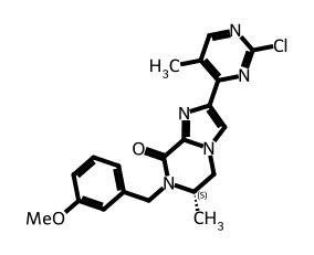 COc1cccc(CN2C(=O)c3nc(-c4nc(Cl)ncc4C)cn3C[C@@H]2C)c1